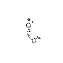 CC(=O)c1cccc(CN2CCN(c3ccc(N)cc3)CC2)c1